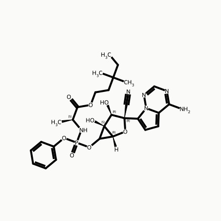 CCC(C)(C)CCOC(=O)[C@H](C)NP(=O)(Oc1ccccc1)OC1[C@H]2O[C@@](C#N)(c3ccc4c(N)ncnn34)[C@H](O)[C@@]12O